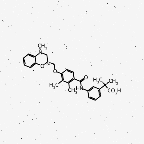 Cc1c(OC[C@@H]2CN(C)c3ccccc3O2)ccc(C(=O)Nc2cccc(C(C)(C)C(=O)O)c2)c1C